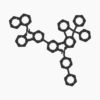 c1ccc(-c2ccc(-n3c4ccc(-c5ccc6c(c5)c5ccccc5n6-c5cccc6ccccc56)cc4c4c5c(ccc43)C(c3ccccc3)(c3ccccc3)c3ccccc3-5)cc2)cc1